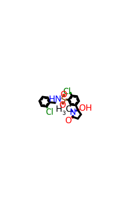 CN1C(=O)CCC1(O)c1ccc(Cl)c(S(=O)(=O)NCc2ccccc2Cl)c1